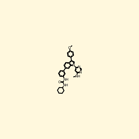 CNc1cc(-n2cc(-c3ccc(OC)cc3)c3ccc(-c4cccc(NC(=O)NC5CCCCC5)c4)cc32)ncn1